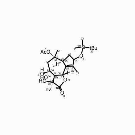 CC(=O)O[C@@]1(C)C[C@H](O)[C@@]2(O)[C@@H](OC(=O)[C@@]2(C)O)C2=C(C)C(O[Si](C)(C)C(C)(C)C)C[C@@H]21